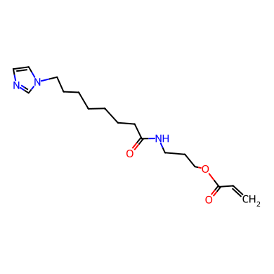 C=CC(=O)OCCCNC(=O)CCCCCCCn1ccnc1